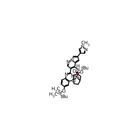 Cn1cc(-c2cc3c(NC4CC5CCC(C4)N5C(=O)OC(C)(C)C)c(/C(N)=N/c4ccc(O[Si](C)(C)C(C)(C)C)cc4Cl)cnn3c2)cn1